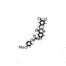 COc1ccc(OCC(=O)Nc2ccc3ncn(Cc4ccc(Cl)c(Cl)c4)c(=O)c3c2)cc1